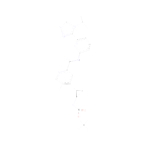 Cc1cnc(C(=O)Nc2cccc(-c3nncn3C(C)C)n2)cc1C1CC1NC(=O)OC(C)(C)C